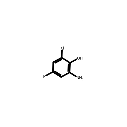 Nc1cc(F)cc(Cl)c1O